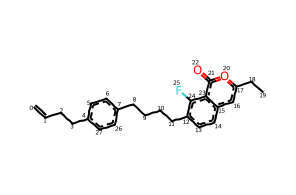 C=CCCc1ccc(CCCCc2ccc3cc(CC)oc(=O)c3c2F)cc1